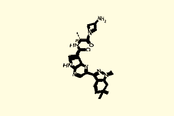 C[C@@H](NC(=O)c1c[nH]c2ncc(-c3nn(C)c4c3CCC(C)(C)C4)nc12)C(=O)N1CC(N)C1